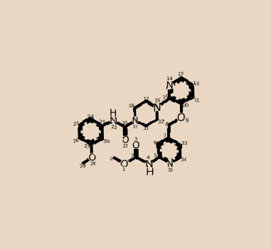 COC(=O)Nc1cc(COc2cccnc2N2CCN(C(=O)Nc3cccc(OC)c3)CC2)ccn1